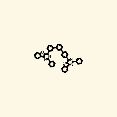 c1ccc(-c2nc(-c3ccc(-c4cccc(-c5cccc(-c6nc(-c7ccccc7)nc7c6oc6ccccc67)c5)c4)cc3)c3oc4ccccc4c3n2)cc1